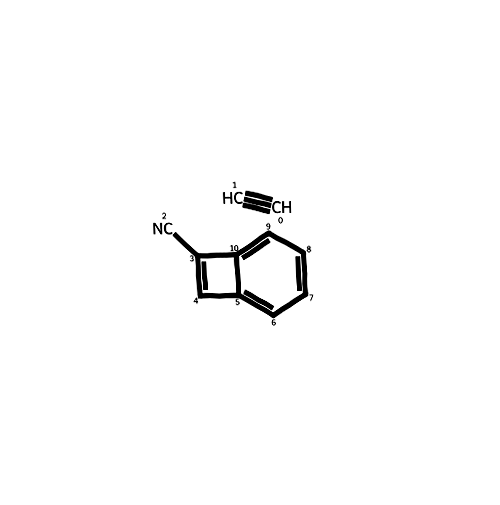 C#C.N#CC1=Cc2ccccc21